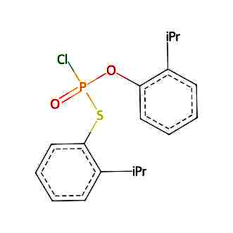 CC(C)c1ccccc1OP(=O)(Cl)Sc1ccccc1C(C)C